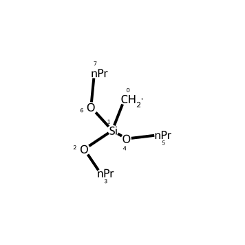 [CH2][Si](OCCC)(OCCC)OCCC